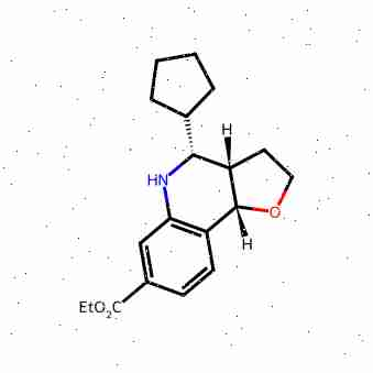 CCOC(=O)c1ccc2c(c1)N[C@H](C1CCCC1)[C@@H]1CCO[C@H]21